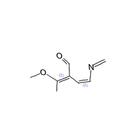 C=N/C=C\C(C=O)=C(/C)OC